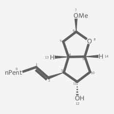 CCCCCC=C[C@H]1[C@@H]2C[C@@H](OC)O[C@@H]2C[C@@H]1O